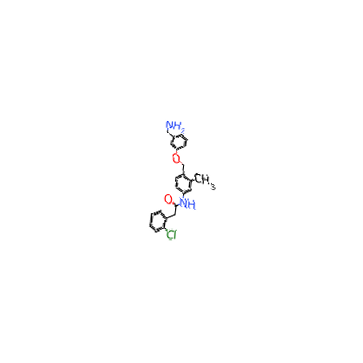 Cc1cc(NC(=O)Cc2ccccc2Cl)ccc1COc1cccc(CN)c1